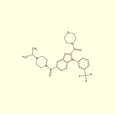 CC(C)N1CCN(C(=O)c2ccc3c(c2)cc(C(=O)N2CCOCC2)n3-c2cccc(C(F)(F)F)c2)CC1